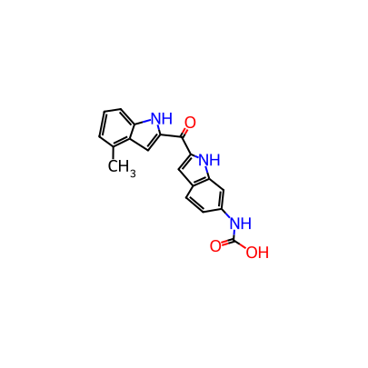 Cc1cccc2[nH]c(C(=O)c3cc4ccc(NC(=O)O)cc4[nH]3)cc12